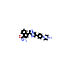 NC(=O)c1ccc(-c2cnn3cc(-c4ccc(N5CCNCC5)cc4)cnc23)c2ccccc12